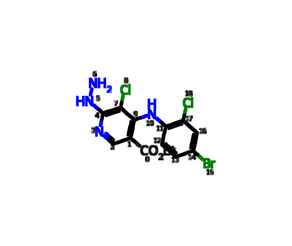 CCOC(=O)c1cnc(NN)c(Cl)c1Nc1ccc(Br)cc1Cl